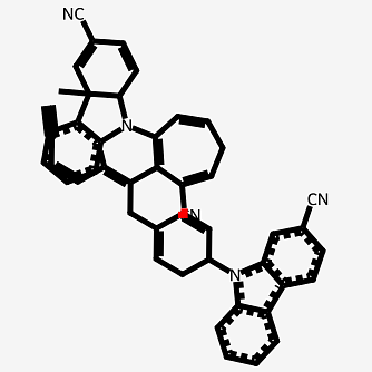 C#C/C=C\C(C)=C(/CC1=CCC(n2c3ccccc3c3ccc(C#N)cc32)C=C1)C1=C(N2c3ccccc3C3(C)C=C(C#N)C=CC23)C=CCC=C1C#N